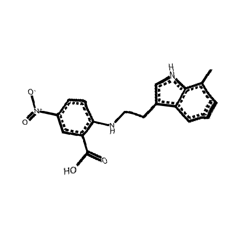 Cc1cccc2c(CCNc3ccc([N+](=O)[O-])cc3C(=O)O)c[nH]c12